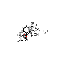 CN1CC[C@]23C[C@H](NC(O)CC(=O)O)CC[C@@]2(O)[C@H]1Cc1ccc(C(N)=O)c(O)c13